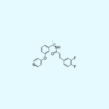 C[C@H](NC(=O)C=Cc1ccc(F)c(F)c1)c1cccc(Oc2ccncc2)c1